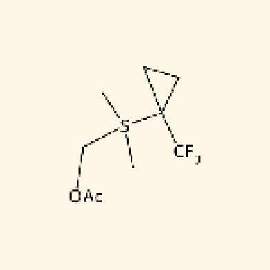 CC(=O)OCS(C)(C)C1(C(F)(F)F)CC1